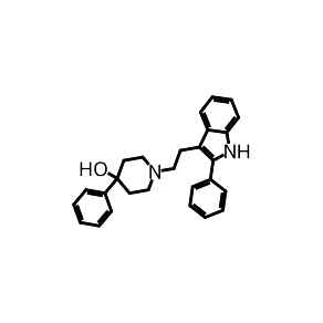 OC1(c2ccccc2)CCN(CCc2c(-c3ccccc3)[nH]c3ccccc23)CC1